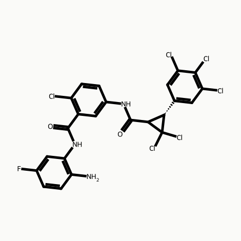 Nc1ccc(F)cc1NC(=O)c1cc(NC(=O)C2[C@H](c3cc(Cl)c(Cl)c(Cl)c3)C2(Cl)Cl)ccc1Cl